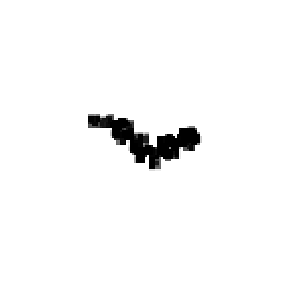 CSc1cnc(NCC(C)CNc2cnc(-n3cccn3)cn2)nc1